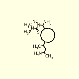 CC(N)CC(C)C1CCCCCCC(C(N)N(C#N)C(=S)N(C)C)CCC1